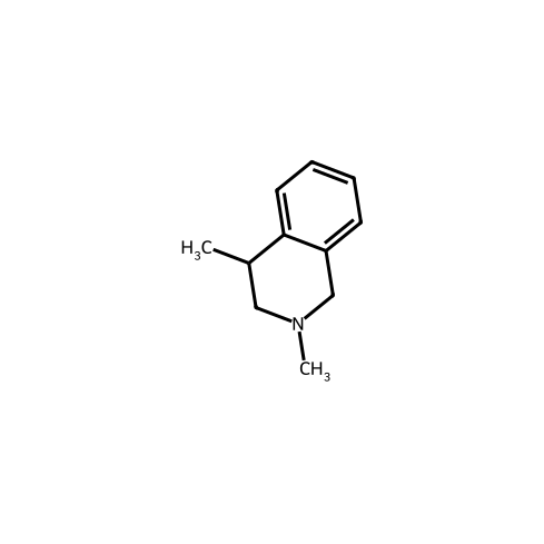 CC1CN(C)Cc2ccccc21